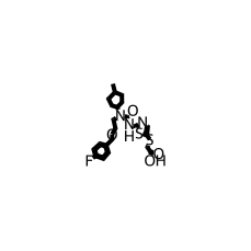 CC1CCC(N(CCOCc2ccc(F)cc2)C(=O)Nc2ncc(SCC(=O)O)s2)CC1